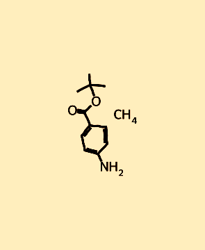 C.CC(C)(C)OC(=O)c1ccc(N)cc1